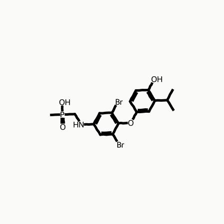 CC(C)c1cc(Oc2c(Br)cc(NCP(C)(=O)O)cc2Br)ccc1O